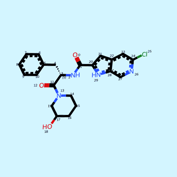 O=C(N[C@@H](Cc1ccccc1)C(=O)N1CCCC(O)C1)c1cc2cc(Cl)ncc2[nH]1